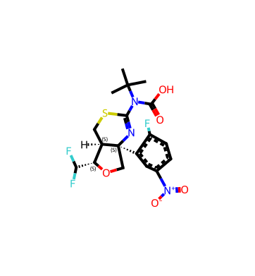 CC(C)(C)N(C(=O)O)C1=N[C@@]2(c3cc([N+](=O)[O-])ccc3F)CO[C@H](C(F)F)[C@H]2CS1